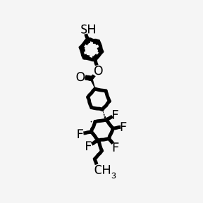 CCCC1(F)C(F)[CH]C(F)([C@H]2CC[C@H](C(=O)Oc3ccc(S)cc3)CC2)C(F)C1F